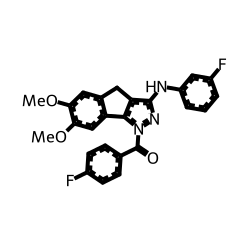 COc1cc2c(cc1OC)-c1c(c(Nc3cccc(F)c3)nn1C(=O)c1ccc(F)cc1)C2